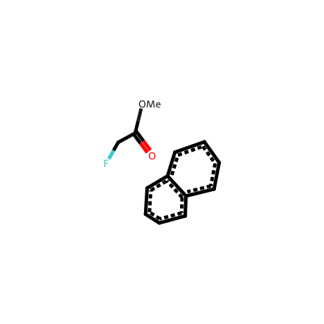 COC(=O)CF.c1ccc2ccccc2c1